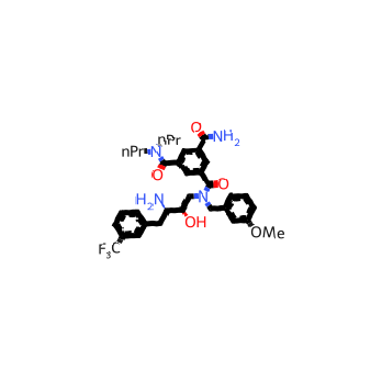 CCCN(CCC)C(=O)c1cc(C(N)=O)cc(C(=O)N(Cc2cccc(OC)c2)C[C@@H](O)[C@@H](N)Cc2cccc(C(F)(F)F)c2)c1